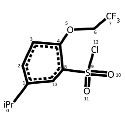 CC(C)c1ccc(OCC(F)(F)F)c(S(=O)(=O)Cl)c1